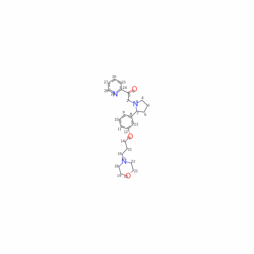 O=C(CN1CCCC1c1cccc(OCCCN2CCOCC2)c1)c1ccccn1